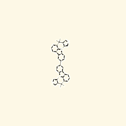 CC1(C)c2cscc2-n2c3ccc(-c4ccc5c(c4)c4cccc6c4n5-c4cscc4C6(C)C)cc3c3cccc1c32